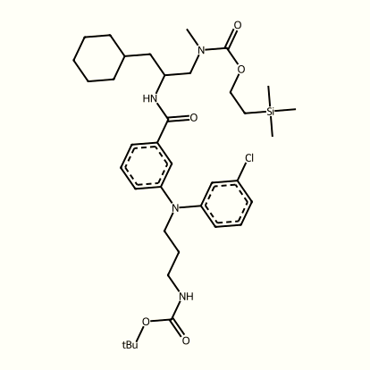 CN(CC(CC1CCCCC1)NC(=O)c1cccc(N(CCCNC(=O)OC(C)(C)C)c2cccc(Cl)c2)c1)C(=O)OCC[Si](C)(C)C